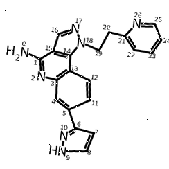 Nc1nc2cc(-c3cc[nH]n3)ccc2c2c1cnn2CCc1ccccn1